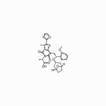 COc1ccccc1[C@H](Cn1c(=O)n([C@H](C)C(=O)O)c(=O)c2c(C)c(-c3ncco3)sc21)O[C@@H]1C[C@H]2CC[C@@H](C1)O2